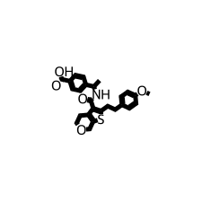 COc1ccc(CCc2sc3c(c2C(=O)NC(C)c2ccc(C(=O)O)cc2)CCOC3)cc1